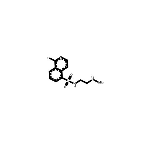 CCCCNCCNS(=O)(=O)c1cccc2c(Cl)nccc12